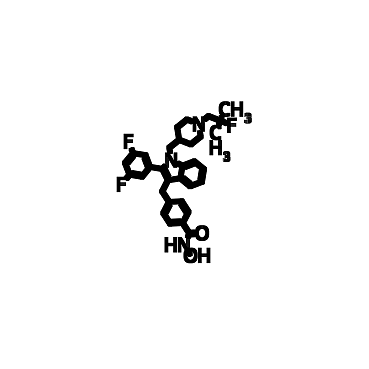 CC(C)(F)CN1CCC(Cn2c(-c3cc(F)cc(F)c3)c(Cc3ccc(C(=O)NO)cc3)c3ccccc32)CC1